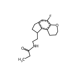 CCC(=O)NCCC1CCc2cc(F)c3c(c21)CCCO3